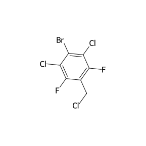 Fc1c(Cl)c(Br)c(Cl)c(F)c1CCl